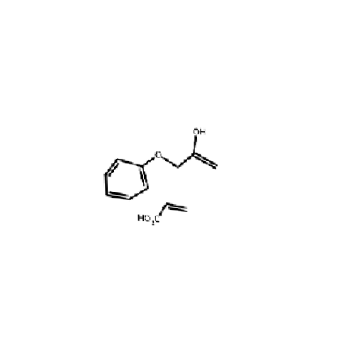 C=C(O)COc1ccccc1.C=CC(=O)O